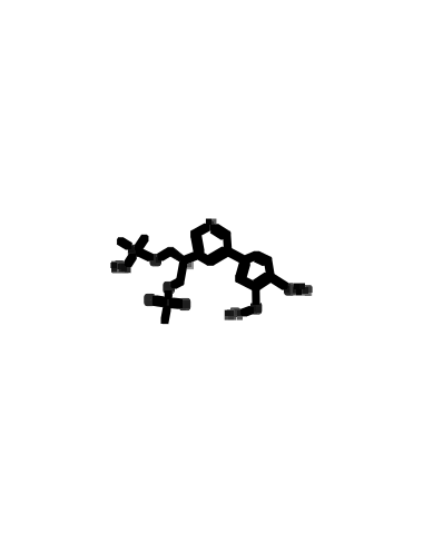 CCCOc1cc(-c2cncc([C@H](CO[Si](C)(C)C(C)(C)C)COS(C)(=O)=O)c2)ccc1OC